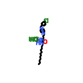 CCCCCCCCCCCCNC(=O)NCCCN1CCN(Cc2ccc(Cl)cc2)CC1.Cl.Cl